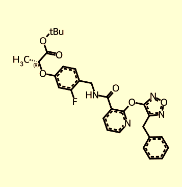 C[C@@H](Oc1ccc(CNC(=O)c2cccnc2Oc2nonc2Cc2ccccc2)c(F)c1)C(=O)OC(C)(C)C